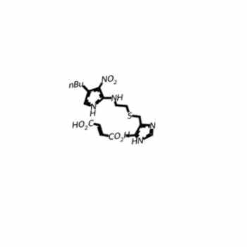 CCCCc1c[nH]c(NCCSCc2nc[nH]c2C)c1[N+](=O)[O-].O=C(O)C=CC(=O)O